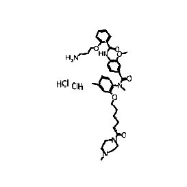 COc1cc(C(=O)N(C)c2ccc(C)cc2OCCCCCC(=O)N2CCN(C)CC2)ccc1NC(=O)c1ccccc1OCCCN.Cl.Cl